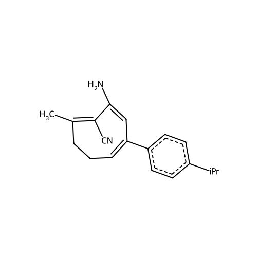 C\C1=C(C#N)/C(N)=C\C(c2ccc(C(C)C)cc2)=C/CC1